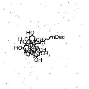 CCCCCCCCCCCCCCCCCC(ON1C(C)(C)CC(O)CC1(C)C)(ON1C(C)(C)CC(O)CC1(C)C)ON1C(C)(C)CC(O)CC1(C)C